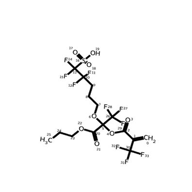 C=C(C(=O)OC(OCCCC(F)(F)C(F)(F)S(=O)(=O)O)(C(=O)OCCC)C(F)(F)F)C(F)(F)F